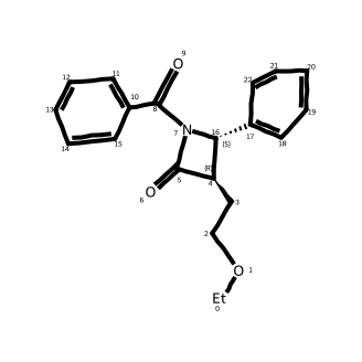 CCOCC[C@H]1C(=O)N(C(=O)c2ccccc2)[C@@H]1c1ccccc1